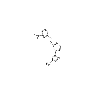 CN(C)c1cccc(COc2cc(-c3noc(C(F)(F)F)n3)ccn2)n1